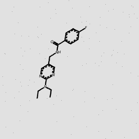 CCN(CC)c1ncc(CNC(=O)c2ccc(F)cc2)cn1